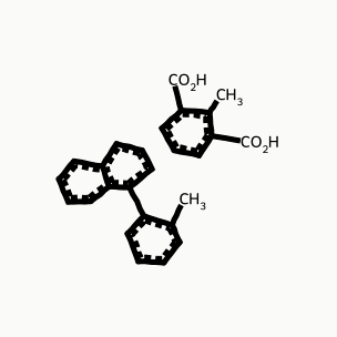 Cc1c(C(=O)O)cccc1C(=O)O.Cc1ccccc1-c1cccc2ccccc12